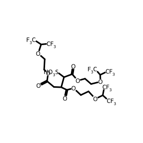 O=C(CC(C(=O)OCCOC(C(F)(F)F)C(F)(F)F)C(C(=O)OCCOC(C(F)(F)F)C(F)(F)F)S(=O)(=O)O)OCCOC(C(F)(F)F)C(F)(F)F